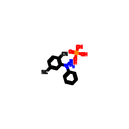 N#Cc1ccc(C#N)c(N(N)c2ccccc2)c1.O=P(O)(O)O